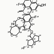 C=Cc1c(F)ccc2cc(O)cc(-c3nc4c5c(nc(OC[C@@]67CCCN6C[C@H](F)C7)nc5c3F)N3CCOCC[C@H]3CO4)c12